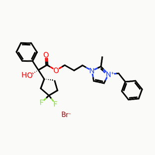 Cc1n(CCCOC(=O)[C@](O)(c2ccccc2)[C@@H]2CCC(F)(F)C2)cc[n+]1Cc1ccccc1.[Br-]